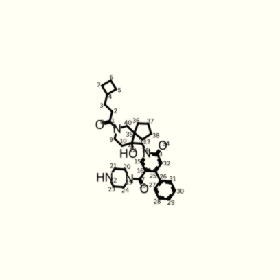 O=C(CCC1CCC1)N1CCC(O)(Cn2cc(C(=O)N3CCNCC3)c(-c3ccccc3)cc2=O)C2(CCCC2)C1